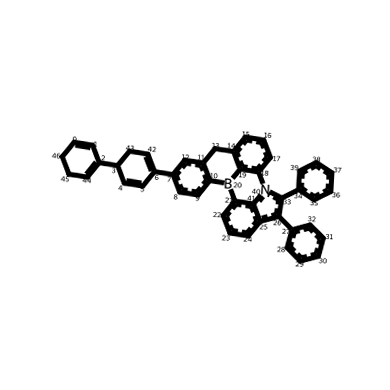 C1=CC(C2C=CC(c3ccc4c(c3)Cc3cccc5c3B4c3cccc4c(-c6ccccc6)c(-c6ccccc6)n-5c34)=CC2)=CCC1